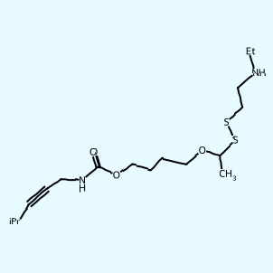 CCNCCSSC(C)OCCCCOC(=O)NCC#CC(C)C